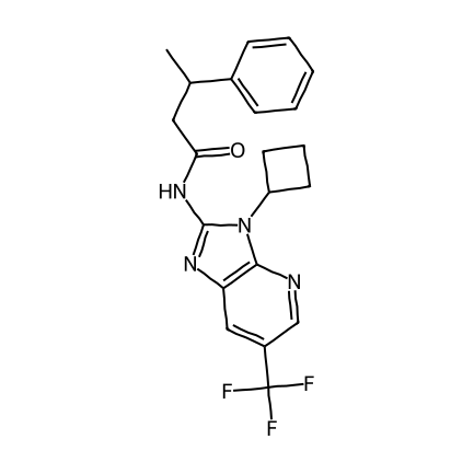 CC(CC(=O)Nc1nc2cc(C(F)(F)F)cnc2n1C1CCC1)c1ccccc1